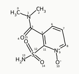 CN(C)C(=O)c1ccc[n+]([O-])c1S(N)(=O)=O